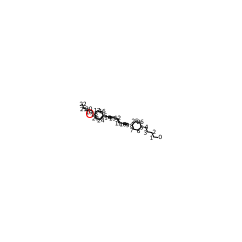 CCCCC[C@H]1CC[C@H](C#C/C=C/C#Cc2ccc(OCCC)cc2)CC1